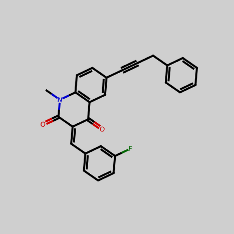 CN1C(=O)/C(=C/c2cccc(F)c2)C(=O)c2cc(C#CCc3ccccc3)ccc21